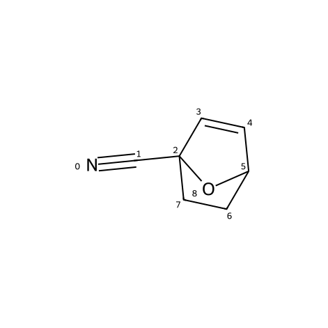 N#CC12C=CC(CC1)O2